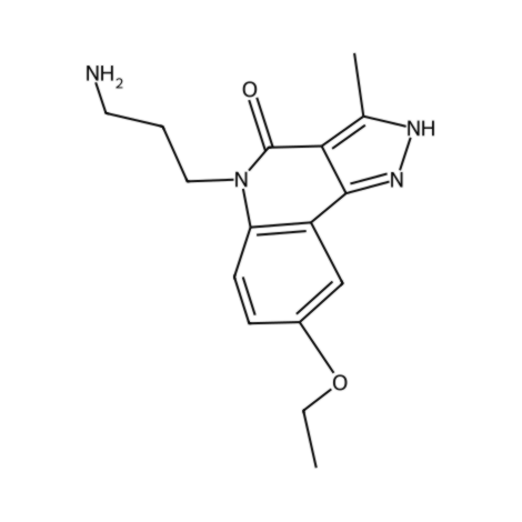 CCOc1ccc2c(c1)c1n[nH]c(C)c1c(=O)n2CCCN